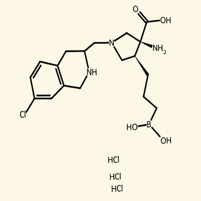 Cl.Cl.Cl.N[C@]1(C(=O)O)CN(CC2Cc3ccc(Cl)cc3CN2)C[C@@H]1CCCB(O)O